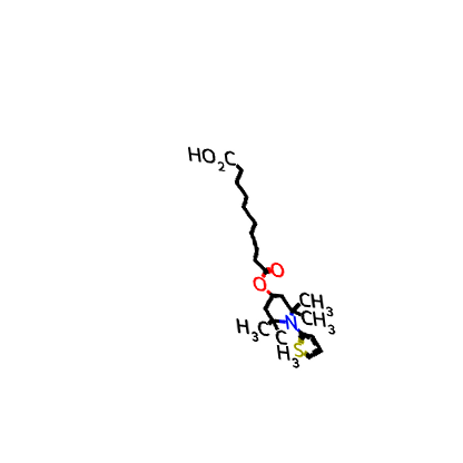 CC1(C)CC(OC(=O)CCCCCCCCC(=O)O)CC(C)(C)N1c1cccs1